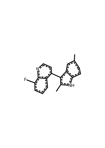 Cc1ccc2[nH]c(C)c(-c3ccnc4c(F)cccc34)c2c1